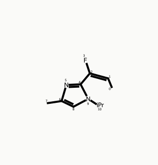 C/C=C(/F)c1nc(C)cn1C(C)C